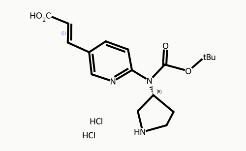 CC(C)(C)OC(=O)N(c1ccc(/C=C/C(=O)O)cn1)[C@@H]1CCNC1.Cl.Cl